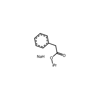 CC(C)OC(=O)Cc1ccccc1.[NaH]